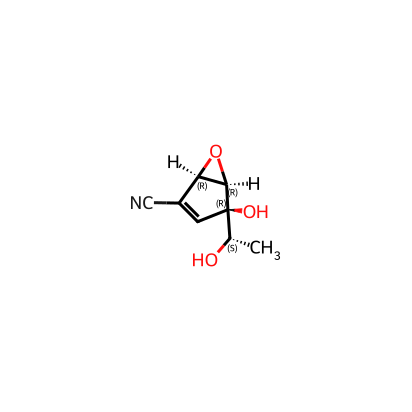 C[C@H](O)[C@]1(O)C=C(C#N)[C@H]2O[C@H]21